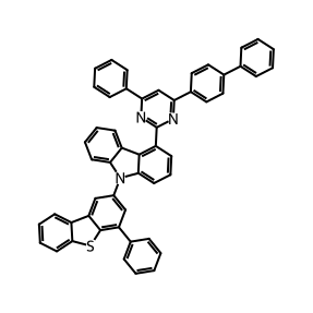 c1ccc(-c2ccc(-c3cc(-c4ccccc4)nc(-c4cccc5c4c4ccccc4n5-c4cc(-c5ccccc5)c5sc6ccccc6c5c4)n3)cc2)cc1